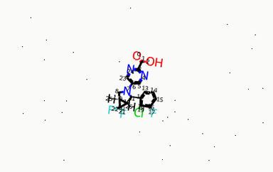 O=C(O)c1ncc(N2C[C@H]3[C@@H]([C@@H]2c2cccc(F)c2Cl)C3(F)F)cn1